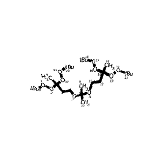 CC(C)(C)OOC(C)(CCOC(C)(C)OCCC(C)(OOC(C)(C)C)OOC(C)(C)C)OOC(C)(C)C